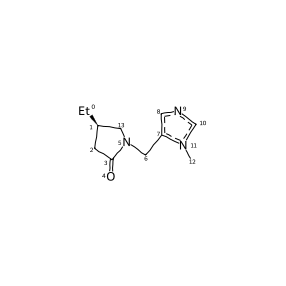 CC[C@@H]1CC(=O)N(Cc2cncn2C)C1